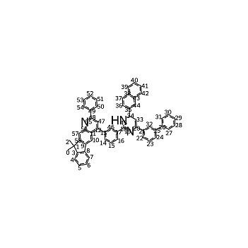 CC1(C)c2ccccc2-c2cc3c(-c4cccc(C5=NC(c6cccc(-c7ccccc7)c6)=CC(c6ccc7ccccc7c6)N5)c4)cc(-c4ccccc4)nc3cc21